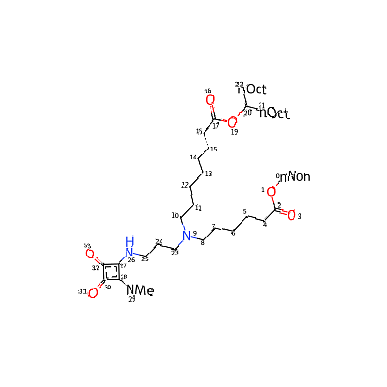 CCCCCCCCCOC(=O)CCCCCN(CCCCCCCC(=O)OC(CCCCCCCC)CCCCCCCC)CCCNc1c(NC)c(=O)c1=O